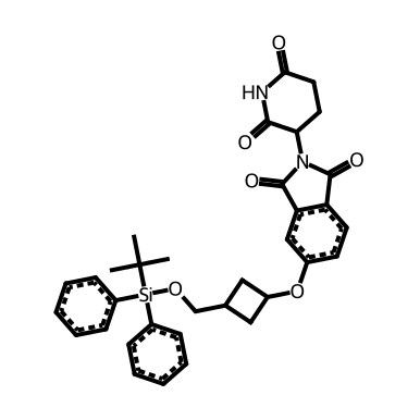 CC(C)(C)[Si](OCC1CC(Oc2ccc3c(c2)C(=O)N(C2CCC(=O)NC2=O)C3=O)C1)(c1ccccc1)c1ccccc1